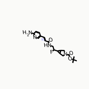 CC(C)(C)OC(=O)N1CC2C(C1)C2C(F)CNC(=O)/C=C/c1ccc(N)nc1